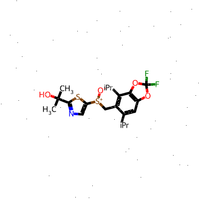 CC(C)c1cc2c(c(C(C)C)c1C[S+]([O-])c1cnc(C(C)(C)O)s1)OC(F)(F)O2